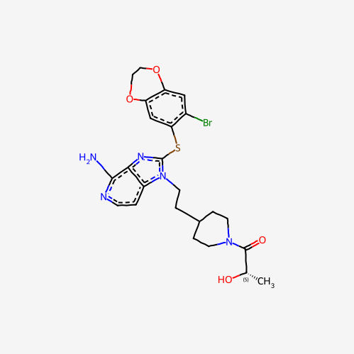 C[C@H](O)C(=O)N1CCC(CCn2c(Sc3cc4c(cc3Br)OCCO4)nc3c(N)nccc32)CC1